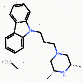 CS(=O)(=O)O.C[C@@H]1CN(CCCn2c3ccccc3c3ccccc32)C[C@H](C)N1